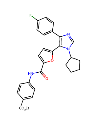 CCOC(=O)c1ccc(NC(=O)c2ccc(-c3c(-c4ccc(F)cc4)ncn3C3CCCC3)o2)cc1